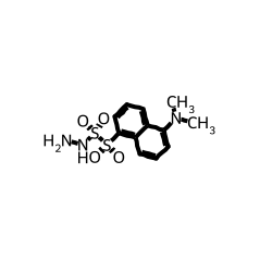 CN(C)c1cccc2c(S(=O)(=O)S(=O)(=O)NN)cccc12